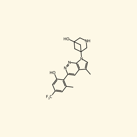 Cc1cc(C(F)(F)F)cc(O)c1-c1cc2c(C)cn(C34CNCC(O)(C3)C4)c2nn1